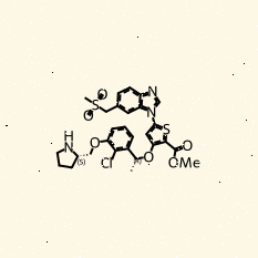 COC(=O)c1sc(-n2cnc3ccc(CS(C)(=O)=O)cc32)cc1O[C@H](C)c1cccc(OC[C@@H]2CCCN2)c1Cl